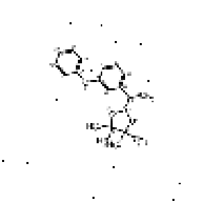 CC(B1OC(C)(C)C(C)(C)O1)c1cccc(Oc2ccccc2)c1